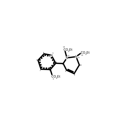 CCOC(=O)c1cccnc1C1C=CCN(C(=O)OCC)N1C(=O)OCC